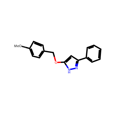 COc1ccc(COc2cc(-c3ccccc3)n[nH]2)cc1